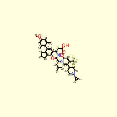 COc1cc(C)c(-c2cc([C@@H](CC(=O)O)NC(=O)[C@H](CC(C)C)n3cc(C4CCN(C5CC5)CC4)c(C(F)(F)F)cc3=O)cc3c2CCC3)c(C)c1